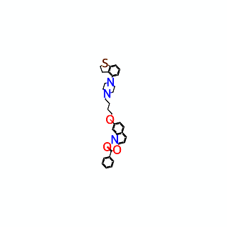 O=C(Oc1ccc2ccc(OCCCCN3CCN(c4cccc5c4CCS5)CC3)cc2n1)c1ccccc1